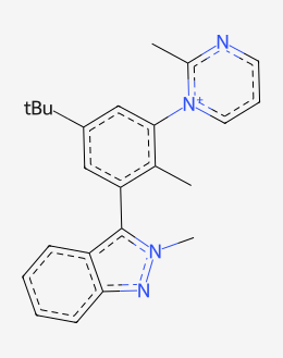 Cc1c(-c2c3ccccc3nn2C)cc(C(C)(C)C)cc1-[n+]1cccnc1C